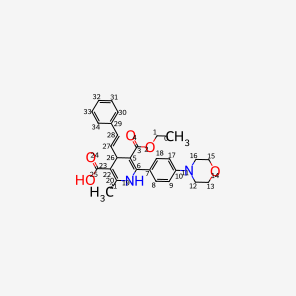 CCOC(=O)C1=C(c2ccc(N3CCOCC3)cc2)NC(C)=C(C(=O)O)C1C=Cc1ccccc1